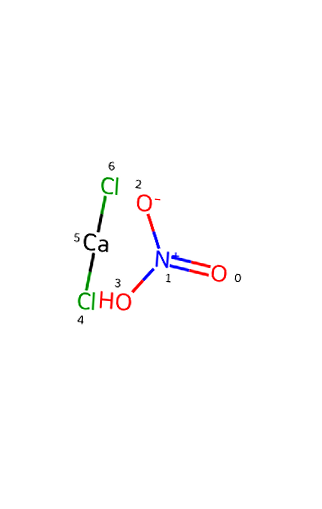 O=[N+]([O-])O.[Cl][Ca][Cl]